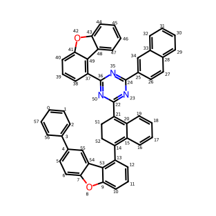 c1ccc(-c2ccc3oc4cccc(C5=c6ccccc6=C(c6nc(-c7ccc8ccccc8c7)nc(-c7cccc8oc9ccccc9c78)n6)CC5)c4c3c2)cc1